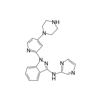 c1ccc2c(c1)c(Nc1cnccn1)nn2-c1cc(N2CCNCC2)ccn1